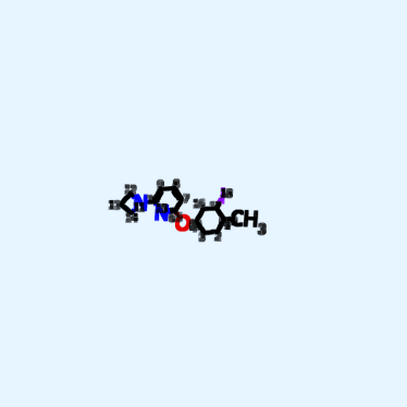 C[C@H]1CC[C@H](Oc2cccc(N3CCC3)n2)CC1I